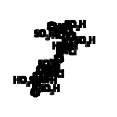 O=S(=O)(O)c1cc(N=c2[nH]c(Cl)nc(=Nc3cccc(N=c4nc(Cl)[nH]c(=Nc5cc(S(=O)(=O)O)cc6cc(S(=O)(=O)O)c(N=Nc7ccccc7S(=O)(=O)O)c(O)c56)[nH]4)c3)[nH]2)c2c(O)c(N=Nc3ccccc3S(=O)(=O)O)c(S(=O)(=O)O)cc2c1